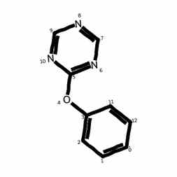 [c]1ccc(Oc2ncncn2)cc1